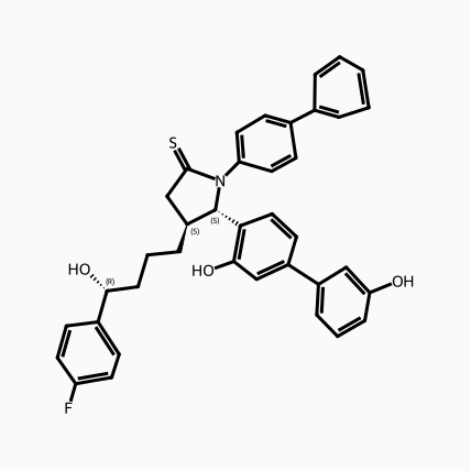 Oc1cccc(-c2ccc([C@@H]3[C@@H](CCC[C@@H](O)c4ccc(F)cc4)CC(=S)N3c3ccc(-c4ccccc4)cc3)c(O)c2)c1